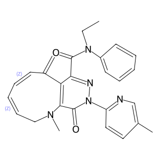 C=C1/C=C\C=C/CN(C)c2c1c(C(=O)N(CC)c1ccccc1)nn(-c1ccc(C)cn1)c2=O